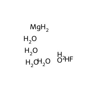 F.O.O.O.O.O.[MgH2]